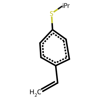 C=Cc1ccc(SC(C)C)cc1